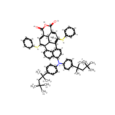 CC(C)(C)CC(C)(C)c1ccc(N(c2ccc(C(C)(C)CC(C)(C)C)cc2)c2ccc3c4c(cccc24)C2=C(Sc4ccccc4)C=C4C(=O)OC(=O)C5=CC(Sc6ccccc6)=C3C2[C@@H]45)cc1